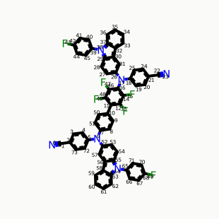 N#Cc1ccc(N(c2ccc(-c3c(F)c(F)c(N(c4ccc(C#N)cc4)c4ccc5c(c4)c4ccccc4n5-c4ccc(F)cc4)c(F)c3F)cc2)c2ccc3c(c2)c2ccccc2n3-c2ccc(F)cc2)cc1